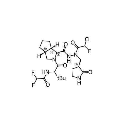 CC(C)(C)C(NC(=O)C(F)F)C(=O)N1C[C@@H]2CCC[C@@H]2[C@H]1C(=O)NN(C[C@@H]1CCNC1=O)C(=O)C(F)Cl